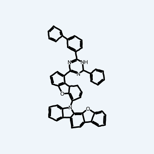 C1=CC(n2c3ccccc3c3ccc4c5ccccc5oc4c32)=C2Oc3cccc(C4=NC(c5ccccc5)NC(c5cccc(-c6ccccc6)c5)=N4)c3C2C1